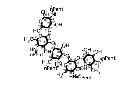 CCCCCN[C@H]1[C@H](O)[C@H](O)[C@@H](O[C@@H]2[C@@H](O[C@@H]3[C@H](O)[C@@H](O[C@@H]4[C@@H](O[C@H]5[C@@H](O)[C@H](NCCCCC)[C@@H](C)O[C@@H]5O)O[C@H](C)[C@@H](NCCCCC)[C@@H]4O)O[C@H](C)[C@H]3NCCCCC)O[C@H](C)[C@@H](NCCCCC)[C@@H]2O)O[C@@H]1C